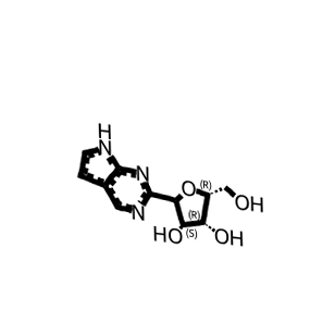 OC[C@H]1OC(c2ncc3cc[nH]c3n2)[C@@H](O)[C@H]1O